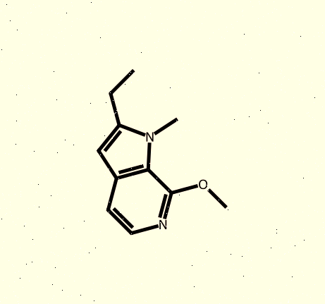 CCc1cc2ccnc(OC)c2n1C